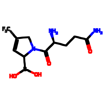 NC(=O)CC[C@H](N)C(=O)N1CC(C(F)(F)F)=CC1B(O)O